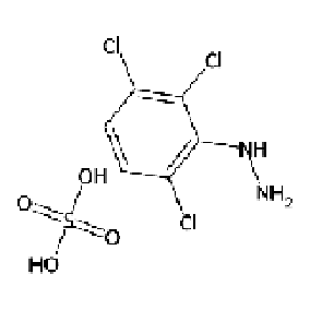 NNc1c(Cl)ccc(Cl)c1Cl.O=S(=O)(O)O